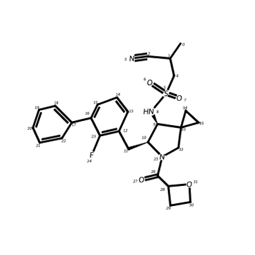 CC(C#N)CS(=O)(=O)N[C@@H]1[C@H](Cc2cccc(-c3ccccc3)c2F)N(C(=O)C2CCO2)CC12CC2